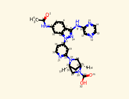 CC(=O)Nc1ccc2c(Nc3cnccn3)nn(-c3ccnc(N4C[C@@H]5C[C@H]4CN5C(=O)O)c3)c2c1